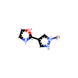 CCn1cc(-c2ncco2)cn1